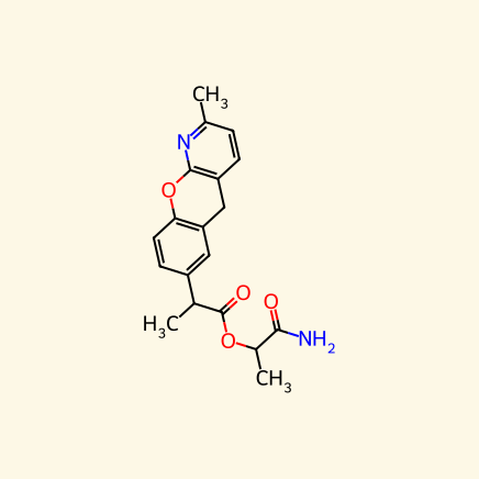 Cc1ccc2c(n1)Oc1ccc(C(C)C(=O)OC(C)C(N)=O)cc1C2